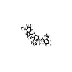 O=C(Nc1ccc(NCc2ccccc2C(F)(F)F)c2scnc12)n1nnc2c(Cl)c(O)c(Cl)cc21